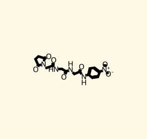 O=C(CNC(=O)CN1C(=O)CCC1=O)NCC(=O)Nc1ccc([N+](=O)[O-])cc1